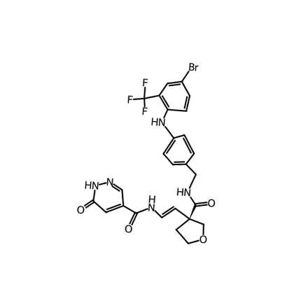 O=C(N/C=C/[C@@]1(C(=O)NCc2ccc(Nc3ccc(Br)cc3C(F)(F)F)cc2)CCOC1)c1cn[nH]c(=O)c1